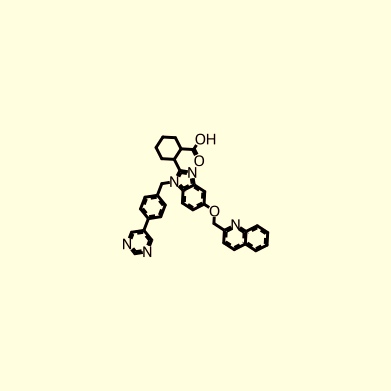 O=C(O)C1CCCCC1c1nc2cc(OCc3ccc4ccccc4n3)ccc2n1Cc1ccc(-c2cncnc2)cc1